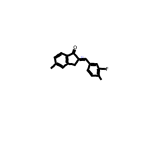 Cc1ccc2c(c1)C/C(=C\c1ccc(C)c(F)c1)C2=O